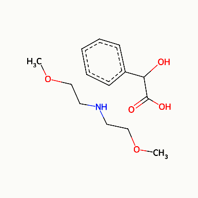 COCCNCCOC.O=C(O)C(O)c1ccccc1